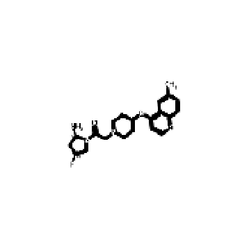 Cc1ccc2nccc(OC3CCN(CC(=O)N4C[C@@H](F)C[C@H]4N)CC3)c2c1